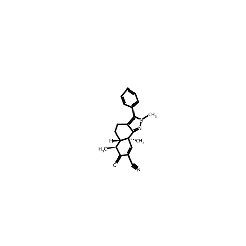 C[C@@H]1C(=O)C(C#N)=C[C@]2(C)c3nn(C)c(-c4ccccc4)c3CC[C@@H]12